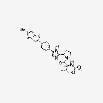 COC(=O)N[C@H](C(=O)N1CCCC1c1ncc(-c2ccc(-c3cc4sc(Br)cc4s3)cc2)[nH]1)C(C)C